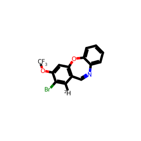 [2H]c1c(Br)c(OC(F)(F)F)cc2c1C=Nc1ccccc1O2